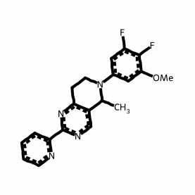 COc1cc(N2CCc3nc(-c4ccccn4)ncc3C2C)cc(F)c1F